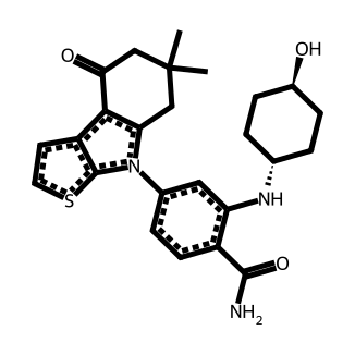 CC1(C)CC(=O)c2c(n(-c3ccc(C(N)=O)c(N[C@H]4CC[C@H](O)CC4)c3)c3sccc23)C1